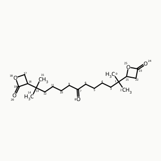 CC(C)(CCCCC(=O)CCCCC(C)(C)C1COC1=O)C1CC(=O)O1